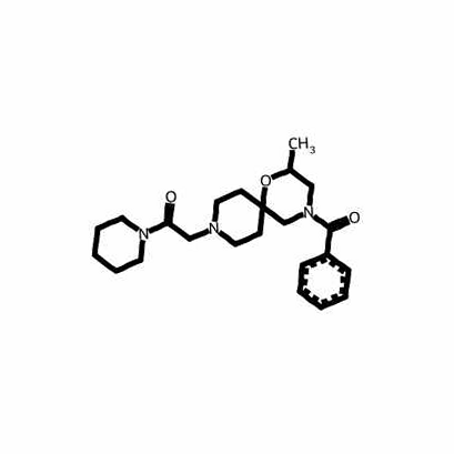 CC1CN(C(=O)c2ccccc2)CC2(CCN(CC(=O)N3CCCCC3)CC2)O1